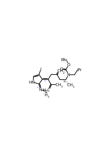 C=C(C/C(C(=C)C)=C1\C(I)=CN\C1=N\C)C[C@@H](C)N(CC(C)C)C(=O)OC(C)(C)C